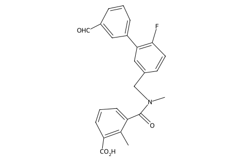 Cc1c(C(=O)O)cccc1C(=O)N(C)Cc1ccc(F)c(-c2cccc(C=O)c2)c1